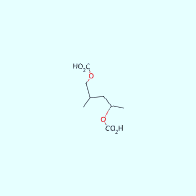 CC(COC(=O)O)CC(C)OC(=O)O